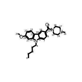 CCCCCn1c2ccc(C(=O)N3CCN(C)CC3)cc2c2ccc(OC)cc21